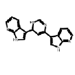 C1=NC(c2c[nH]c3ncccc23)=CC(c2c[nH]c3ncccc23)N1